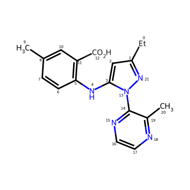 CCc1cc(Nc2ccc(C)cc2C(=O)O)n(-c2nccnc2C)n1